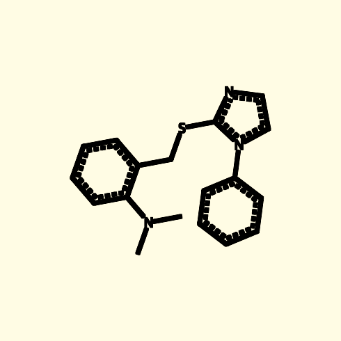 CN(C)c1ccccc1CSc1nccn1-c1ccccc1